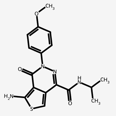 COc1ccc(-n2nc(C(=O)NC(C)C)c3csc(N)c3c2=O)cc1